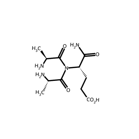 C[C@H](N)C(=O)N(C(=O)[C@H](C)N)[C@@H](CCC(=O)O)C(N)=O